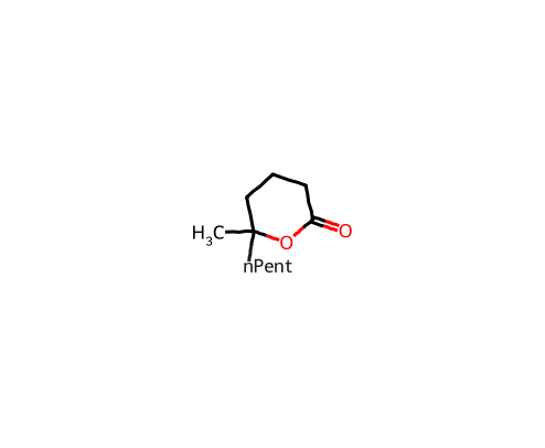 CCCCCC1(C)CCCC(=O)O1